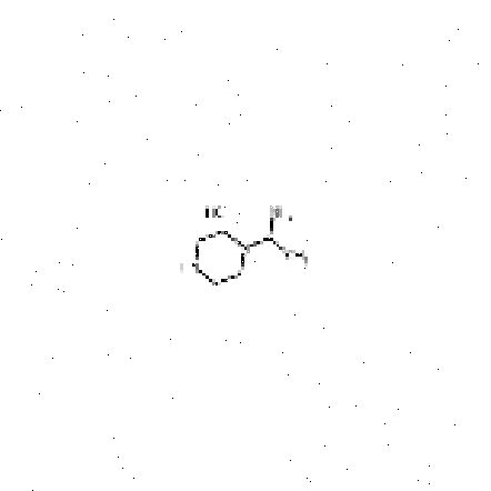 CC(N)N1CCNCC1.Cl